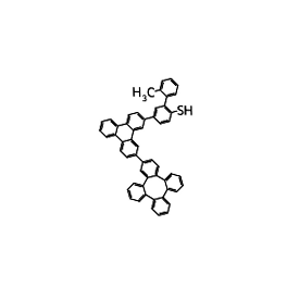 Cc1ccccc1-c1cc(-c2ccc3c4ccccc4c4ccc(-c5ccc6c(c5)-c5ccccc5-c5ccccc5-c5ccccc5-6)cc4c3c2)ccc1S